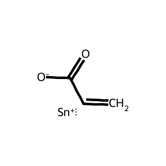 C=CC(=O)[O-].[Sn+]